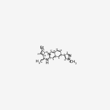 C=C(Nc1cc2cc(-c3cnn(C)c3)ccc2cn1)C12CC(CC)(C1)C2